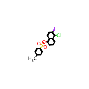 Cc1ccc(S(=O)(=O)Oc2cccc3c(Cl)c(I)ccc23)cc1